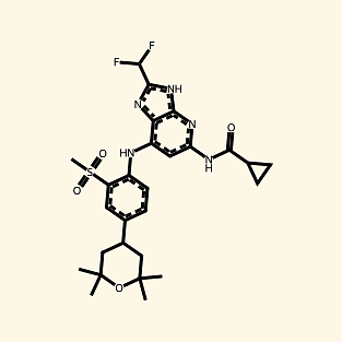 CC1(C)CC(c2ccc(Nc3cc(NC(=O)C4CC4)nc4[nH]c(C(F)F)nc34)c(S(C)(=O)=O)c2)CC(C)(C)O1